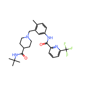 Cc1ccc(NC(=O)c2cccc(C(F)(F)F)n2)cc1CN1CCC(C(=O)NC(C)(C)C)CC1